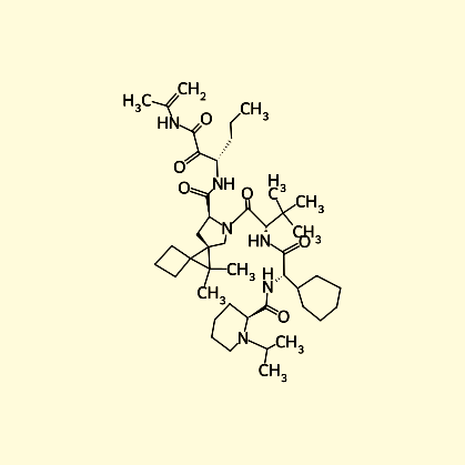 C=C(C)NC(=O)C(=O)[C@H](CCC)NC(=O)[C@@H]1C[C@@]2(CN1C(=O)[C@@H](NC(=O)[C@@H](NC(=O)[C@@H]1CCCCN1C(C)C)C1CCCCC1)C(C)(C)C)C(C)(C)C21CCC1